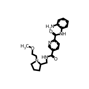 COCCN1CCCC1CNC(=O)c1ccc(C(=O)Nc2ccccc2N)nc1